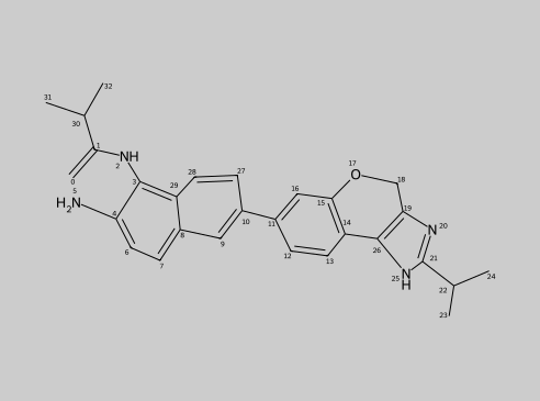 C=C(Nc1c(N)ccc2cc(-c3ccc4c(c3)OCc3nc(C(C)C)[nH]c3-4)ccc12)C(C)C